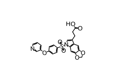 O=C(O)CCc1cn(S(=O)(=O)c2ccc(Oc3cccnc3)cc2)c2cc3c(cc12)OCO3